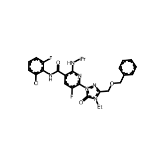 CCn1c(COCc2ccccc2)nn(-c2nc(NC(C)C)c(C(=O)Nc3c(F)cccc3Cl)cc2F)c1=O